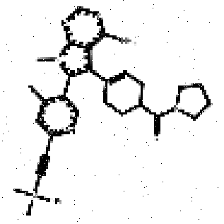 Cc1cc(C#C[Si](C)(C)C(C)(C)C)ncc1-c1c(C2=CCC(C(=O)N3CCCC3)CC2)c2c(N)ncnc2n1C